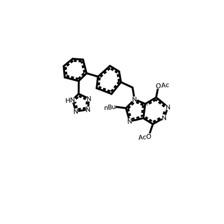 CCCCc1nc2c(OC(C)=O)nnc(OC(C)=O)c2n1Cc1ccc(-c2ccccc2-c2nnn[nH]2)cc1